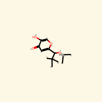 C[SiH](C)OC(c1cc(=O)c(O)co1)C(C)(C)C